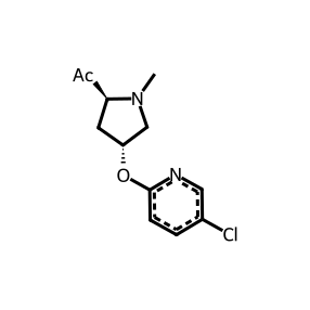 CC(=O)[C@@H]1C[C@@H](Oc2ccc(Cl)cn2)CN1C